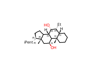 CCC[C@@H](C)[C@H]1CCC2[C@H]3C([C@@H](O)C[C@@]21C)[C@@]1(C)CCCC[C@H]1[C@@H](CC)[C@H]3O